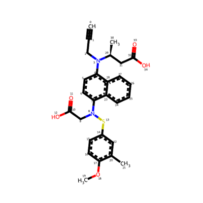 C#CCN(c1ccc(N(CC(=O)O)Sc2ccc(OC)c(C)c2)c2ccccc12)[C@@H](C)CC(=O)O